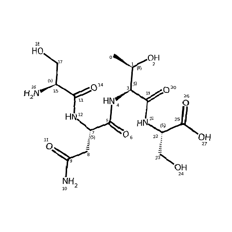 C[C@@H](O)[C@H](NC(=O)[C@H](CC(N)=O)NC(=O)[C@@H](N)CO)C(=O)N[C@@H](CO)C(=O)O